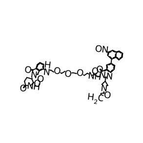 C=CC(=O)N1CC(c2nc3ccc(-c4cc(N=O)cc5ccccc45)cc3c(=O)n2CC(=O)NCCOCCOCCOCCNc2cccc3c2C(=O)N(C2CCC(=O)NC2=O)C3=O)C1